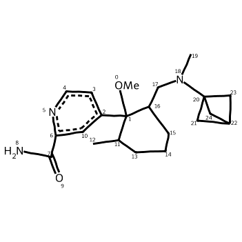 COC1(c2ccnc(C(N)=O)c2)C(C)CCCC1CN(C)C12CC(C1)C2